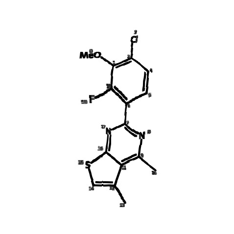 COc1c(Cl)ccc(-c2nc(C)c3c(C)csc3n2)c1F